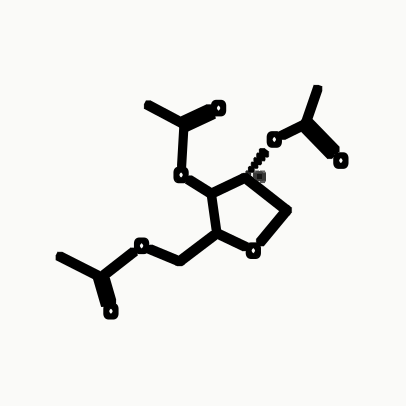 CC(=O)OCC1OC[C@@H](OC(C)=O)C1OC(C)=O